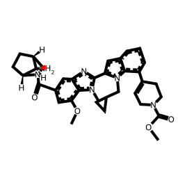 COC(=O)N1CC=C(c2cccc3cc(-c4nc5cc(C(=O)N6C[C@H]7CC[C@@H]6[C@@H]7N)cc(OC)c5n4C)n(CC4CC4)c23)CC1